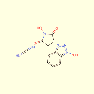 N=C=N.O=C1CCC(=O)N1O.On1nnc2ccccc21